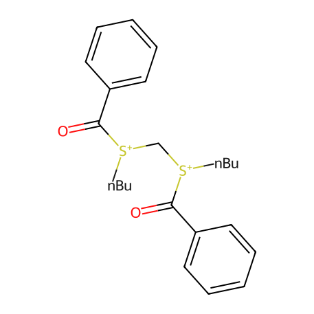 CCCC[S+](C[S+](CCCC)C(=O)c1ccccc1)C(=O)c1ccccc1